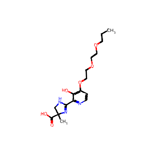 CCCOCCOCCOc1ccnc(C2=NC(C)(C(=O)O)CN2)c1O